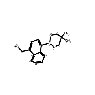 CC1(C)COB(c2ccc(CO)c3ccccc23)OC1